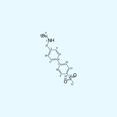 CC(C)(C)NCc1ccc(-c2ccc(S(C)(=O)=O)cc2)cc1